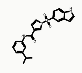 CC(C)c1cccc(NC(=O)c2ccn(S(=O)(=O)c3ccc4[nH]ccc4c3)c2)c1